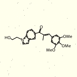 COc1cc(/C=C(\C)C(=O)c2ccc3c(ccn3CCO)c2)cc(OC)c1OC